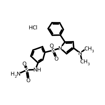 CN(C)c1cc(-c2ccccc2)n(S(=O)(=O)c2cccc(NS(N)(=O)=O)c2)c1.Cl